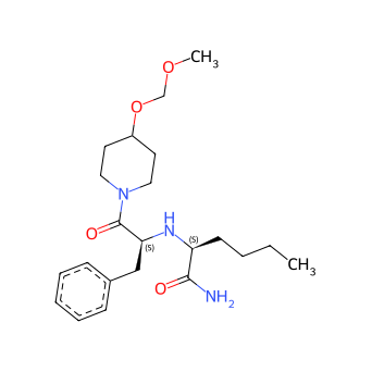 CCCC[C@H](N[C@@H](Cc1ccccc1)C(=O)N1CCC(OCOC)CC1)C(N)=O